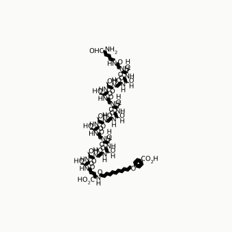 N[C@H](C=O)CCCCNC(=O)CNC(=O)[C@H](CO)NC(=O)[C@H](CO)NC(=O)CNC(=O)[C@H](CO)NC(=O)[C@H](CO)NC(=O)CNC(=O)[C@H](CO)NC(=O)[C@H](CO)NC(=O)CNC(=O)[C@H](CO)NC(=O)[C@H](CO)NC(=O)CNC(=O)[C@H](CO)NC(=O)[C@H](CO)NC(=O)CNC(=O)[C@H](CO)NC(=O)[C@H](CO)NC(=O)CC[C@H](NC(=O)CCCCCCCCCCOc1ccc(C(=O)O)cc1)C(=O)O